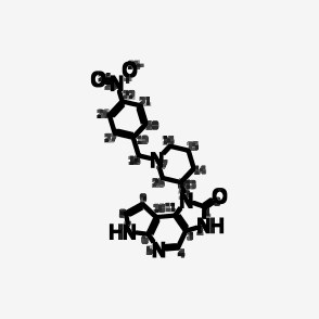 O=c1[nH]c2cnc3[nH]ccc3c2n1[C@@H]1CCCN(Cc2ccc([N+](=O)[O-])cc2)C1